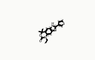 CCN1C(=O)OC(C)(C)c2cc3[nH]c(-c4ccsc4)nc3cc21